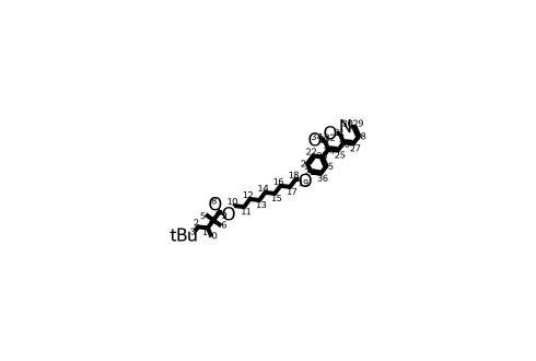 CC(CC(C)(C)C)C(C)(C)C(=O)OCCCCCCCCCOc1ccc(-c2cc3cccnc3oc2=O)cc1